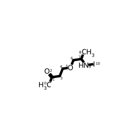 CC(=O)CCOCC(C)NI